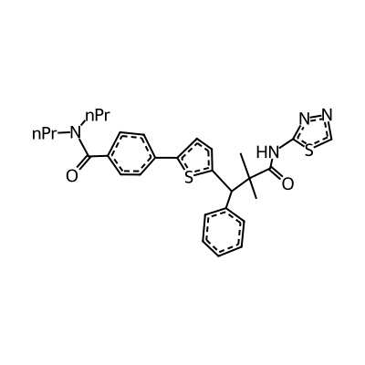 CCCN(CCC)C(=O)c1ccc(-c2ccc(C(c3ccccc3)C(C)(C)C(=O)Nc3nncs3)s2)cc1